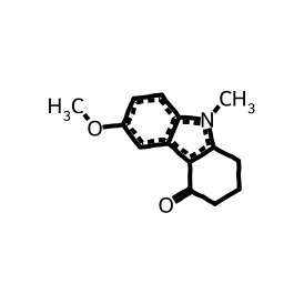 COc1ccc2c(c1)c1c(n2C)CCCC1=O